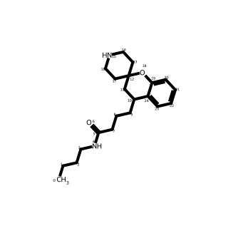 CCCCNC(=O)CCCC1CC2(CCNCC2)Oc2ccccc21